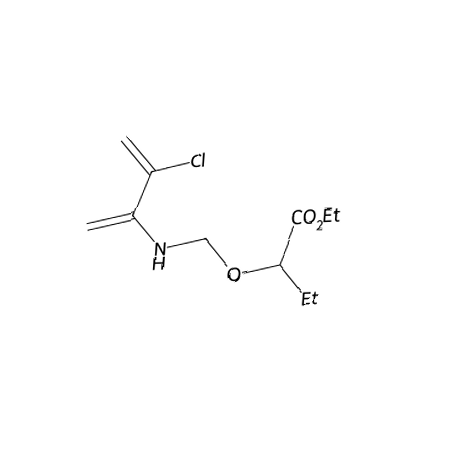 C=C(Cl)C(=C)NCOC(CC)C(=O)OCC